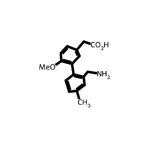 COc1ccc(CC(=O)O)cc1-c1ccc(C)cc1CN